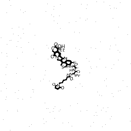 CC[C@@]1(O)C(=O)OCc2c1cc1n(c2=O)Cc2c-1nc1cc(F)c(NC(=O)[C@H](C)NC(=O)[C@@H](NC(=O)CCCCCN3C(=O)C=CC3=O)C(C)C)c3c1c2CSC3